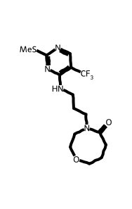 CSc1ncc(C(F)(F)F)c(NCCCN2CCOCCCC2=O)n1